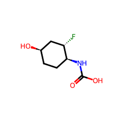 O=C(O)N[C@H]1CC[C@@H](O)C[C@@H]1F